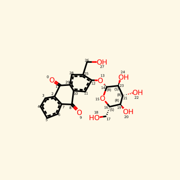 O=C1c2ccccc2C(=O)c2cc(O[C@H]3O[C@@H](CO)[C@H](O)[C@@H](O)[C@@H]3O)c(CO)cc21